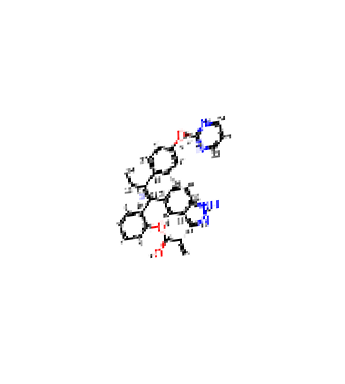 C=CC(=O)Oc1ccccc1/C(=C(\CC)c1ccc(Oc2ncccn2)cc1)c1ccc2[nH]ncc2c1